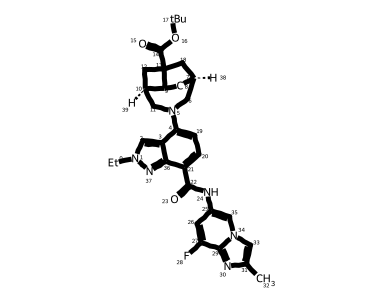 CCn1cc2c(N3C[C@H]4CC5[C@@H](C3)CC5(C(=O)OC(C)(C)C)C4)ccc(C(=O)Nc3cc(F)c4nc(C)cn4c3)c2n1